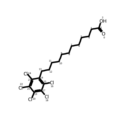 O=C(O)CCCCCCCCCCCc1c(Cl)c(Cl)c(Cl)c(Cl)c1Cl